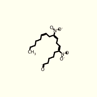 CCCCC/C=C\C/C(=C\C/C=C(\CCCC[C]=O)[N+](=O)[O-])[N+](=O)[O-]